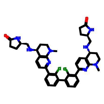 CN1CC[C@H](NC[C@@H]2CCC(=O)N2)c2ccc(-c3cccc(-c4cccc(-c5ccc6c(n5)N(C)CC[C@H]6NC[C@H]5CCC(=O)N5)c4Cl)c3Cl)nc21